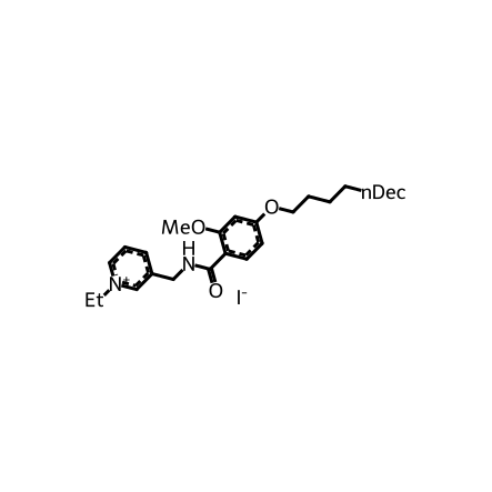 CCCCCCCCCCCCCCOc1ccc(C(=O)NCc2ccc[n+](CC)c2)c(OC)c1.[I-]